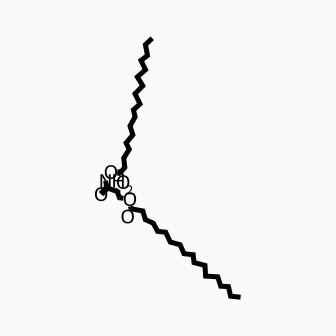 CCCCCCCCCCCCCCCCCC(=O)OCC(OC(=O)CCCCCCCCCCCCCCCCC)C(N)=O